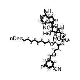 CCCCCCCCCCCCCCCCCCOC[C@H](CCOCc1cc(F)cc(C#N)c1)OP(=O)(O)OC1[C@H]2O[C@@](C#N)(c3ccc4c(N)ncnn34)[C@H](O)[C@@]12O